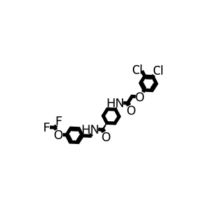 O=C(COc1ccc(Cl)c(Cl)c1)N[C@H]1CC[C@H](C(=O)NCc2ccc(OC(F)F)cc2)CC1